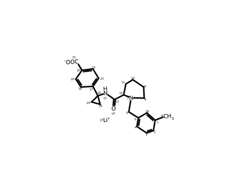 Cc1cccc(CN2CCCCC2C(=O)NC2(c3ccc(C(=O)[O-])cc3)CC2)c1.[Li+]